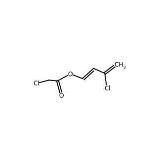 C=C(Cl)C=COC(=O)CCl